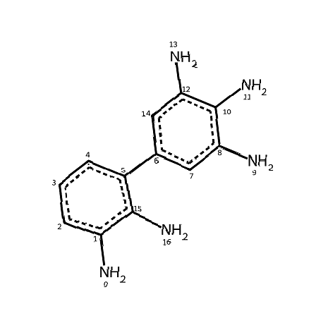 Nc1cc[c]c(-c2cc(N)c(N)c(N)c2)c1N